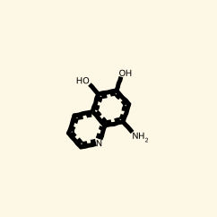 Nc1cc(O)c(O)c2cccnc12